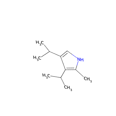 Cc1[nH]cc(C(C)C)c1C(C)C